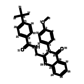 COc1ccc(-n2c(CNC(=O)c3ccc(C(C)(C)C)cc3)nc3ccccc3c2=O)cc1